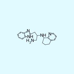 NCC(Cc1nc2ccccc2[nH]1)NC1CCCc2cccnc21